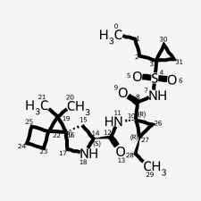 CCCC1(S(=O)(=O)NC(=O)[C@@]2(NC(=O)[C@@H]3C[C@@]4(CN3)C(C)(C)C43CCC3)C[C@H]2CC)CC1